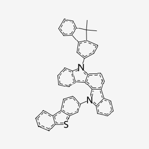 CC1(C)c2ccccc2-c2cc(-n3c4ccccc4c4c3ccc3c5ccccc5n(-c5ccc6c(c5)sc5ccccc56)c34)ccc21